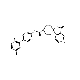 Cc1ccc(F)c(-c2cnc(NC(=O)[C@]3(O)CC[C@@]4(CC3)OC(=O)c3c[n+]([O-])ccc34)nc2)c1